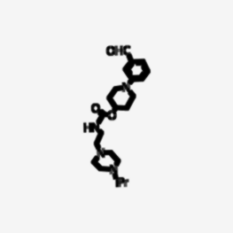 CC(C)N1CCN(CCNC(=O)OC2CCN(c3cccc(C=O)c3)CC2)CC1